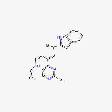 C=CN/C=C\C(=C/C(CC)c1cc2ccccc2[nH]1)c1ccnc(C)n1